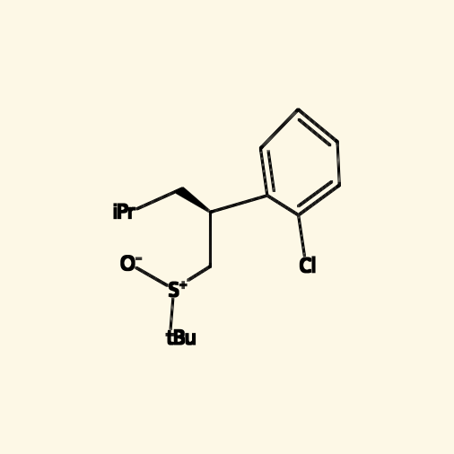 CC(C)C[C@H](C[S+]([O-])C(C)(C)C)c1ccccc1Cl